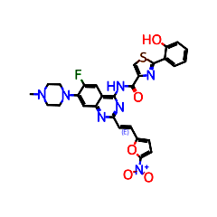 CN1CCN(c2cc3nc(/C=C/c4ccc([N+](=O)[O-])o4)nc(NC(=O)c4csc(-c5ccccc5O)n4)c3cc2F)CC1